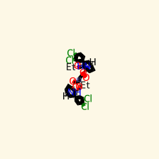 CCOC[C@H]1[C@H](c2ccc(Cl)c(Cl)c2)C[C@H]2CC[C@@]1(OC(=O)/C=C/C(=O)O[C@@]13CC[C@H](C[C@@H](c4ccc(Cl)c(Cl)c4)[C@@H]1COCC)N3)N2